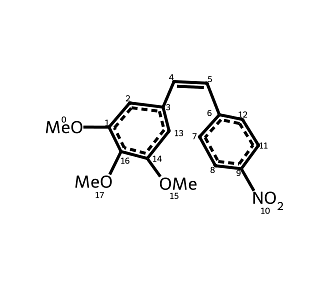 COc1cc(/C=C\c2ccc([N+](=O)[O-])cc2)cc(OC)c1OC